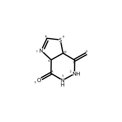 C=C1NNC(=O)C2N=CSC12